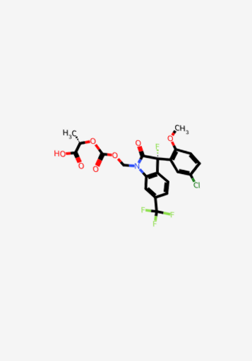 COc1ccc(Cl)cc1[C@]1(F)C(=O)N(COC(=O)O[C@@H](C)C(=O)O)c2cc(C(F)(F)F)ccc21